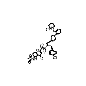 CS(=O)(=O)Nc1ccc2oc(C(=O)N[C@H](C=C3CCC(c4ccccc4CN4CCCCC4=O)CC3)Cc3ccc(Cl)cc3)cc(=O)c2c1